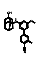 COc1cc(-c2ccc(C#N)c(F)c2)nc(NC23CC4CC(CC(O)(C4)C2)C3)n1